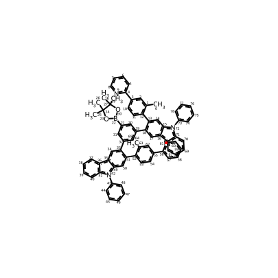 Cc1cc(-c2ccccn2)ccc1-c1cc2c(cc1-c1cc(B3OC(C)(C)C(C)(C)O3)cc(-c3cc4c5ccccc5n(-c5ccccc5)c4cc3-c3ccc(-c4ccccn4)cc3C)c1)c1ccccc1n2-c1ccccc1